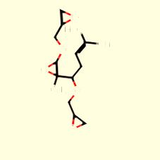 CC(C)=CCC(OCC1CO1)C1(C)OC1OCC1CO1